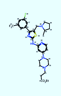 CCOC(=O)CCN1CCN(c2ccnc(Nc3nc(-c4cc(F)cc(C(F)(F)F)c4)c(CN4CCCC4C)s3)c2)CC1